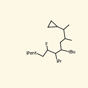 CCCC(C)CC(F)C(C(C)C)C(CC(C)C(C)C1CC1)C(C)(C)C